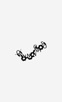 C[C@@H]1CN(c2cccc(-c3ccc4cnc(CNC(=O)c5ccc6c(c5)SCCO6)cc4n3)n2)C[C@H](C)O1